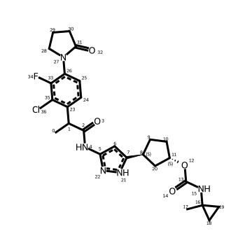 CC(C(=O)Nc1cc([C@H]2CC[C@H](OC(=O)NC3(C)CC3)C2)[nH]n1)c1ccc(N2CCCC2=O)c(F)c1Cl